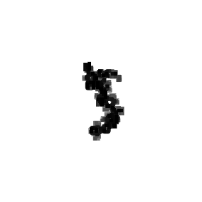 CC(=O)c1ccc(-n2cnc3cc(Nc4ccc(OC5COC5)nn4)ccc32)nc1-n1nc(C#N)cc1C